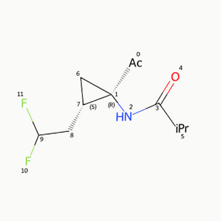 CC(=O)[C@@]1(NC(=O)C(C)C)C[C@H]1CC(F)F